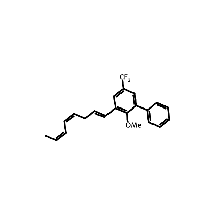 C/C=C\C=C/C/C=C/c1cc(C(F)(F)F)cc(-c2ccccc2)c1OC